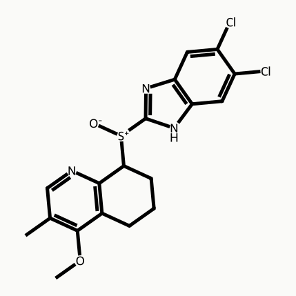 COc1c(C)cnc2c1CCCC2[S+]([O-])c1nc2cc(Cl)c(Cl)cc2[nH]1